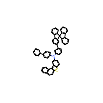 c1ccc(-c2ccc(N(c3cccc(-c4ccc5c(c4)C4(c6ccccc6-c6ccccc64)c4ccccc4-5)c3)c3ccc4sc5ccc6ccccc6c5c4c3)cc2)cc1